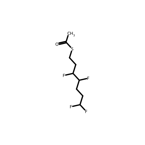 CC(=O)SCCC(F)C(F)CCC(F)F